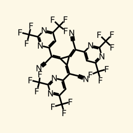 N#CC(=C1C(=C(C#N)c2cc(C(F)(F)F)nc(C(F)(F)F)n2)C1=C(C#N)c1cc(C(F)(F)F)nc(C(F)(F)F)n1)c1cc(C(F)(F)F)nc(C(F)(F)F)n1